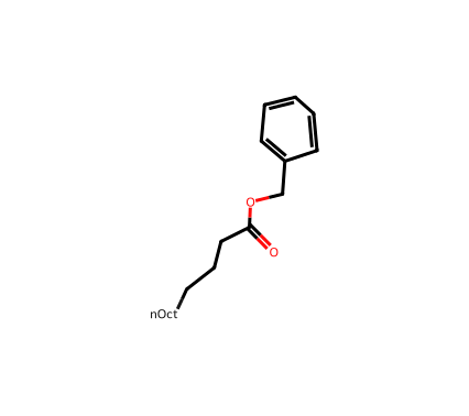 [CH2]CCCCCCCCCCC(=O)OCc1ccccc1